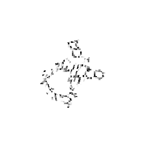 C[C@@H]1CC2C(=O)OC[C@H](NC(=O)[C@H](Cc3ccccc3)NC(=O)Nc3ccc4ccn(C)c4c3)C(=O)N3CCC[C@H]3C(=O)N3CCCC[C@H]3C(=O)N[C@@H](C)C(=O)N2C1